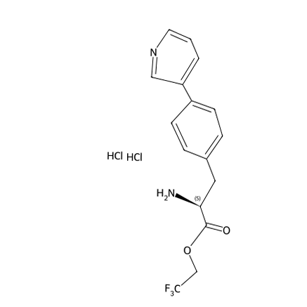 Cl.Cl.N[C@@H](Cc1ccc(-c2cccnc2)cc1)C(=O)OCC(F)(F)F